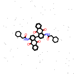 O=C(CC1CCCCC1)Nc1ccc(-c2ccc(NC(=O)CC3CCCCC3)c3c2C(=O)c2ccccc2C3=O)c2c1C(=O)c1ccccc1C2=O